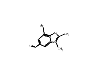 Cc1oc2c(Br)cc(C=O)cc2c1C